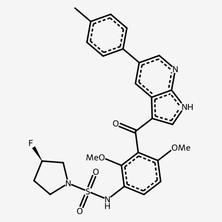 COc1ccc(NS(=O)(=O)N2CC[C@@H](F)C2)c(OC)c1C(=O)c1c[nH]c2ncc(-c3ccc(C)cc3)cc12